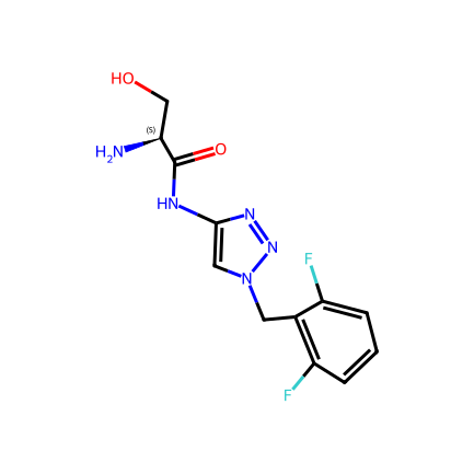 N[C@@H](CO)C(=O)Nc1cn(Cc2c(F)cccc2F)nn1